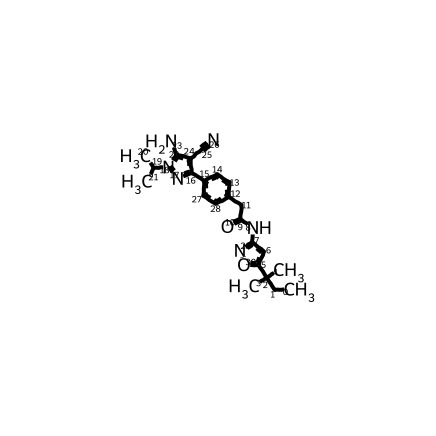 CCC(C)(C)c1cc(NC(=O)Cc2ccc(-c3nn(C(C)C)c(N)c3C#N)cc2)no1